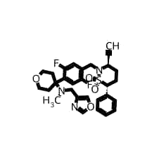 C#C[C@H]1CC[C@H](c2ccccc2)S(=O)(=O)N1Cc1cc(F)c(C2(N(C)Cc3cocn3)CCOCC2)cc1F